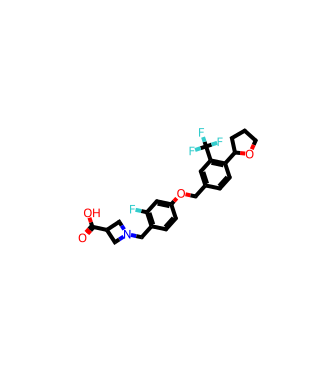 O=C(O)C1CN(Cc2ccc(OCc3ccc(C4CCCO4)c(C(F)(F)F)c3)cc2F)C1